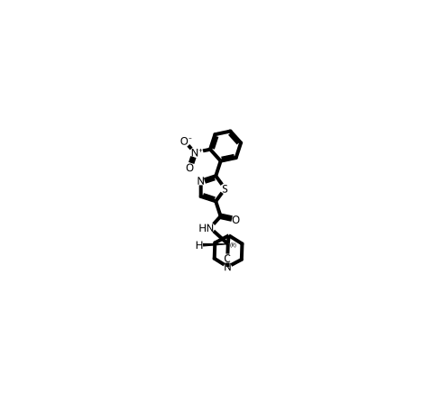 O=C(N[C@H]1CN2CCC1CC2)c1cnc(-c2ccccc2[N+](=O)[O-])s1